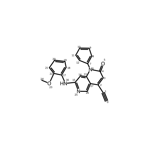 C#Cc1cc(=O)n(-c2ccccc2)c2cc(Nc3ccccc3OC)ncc12